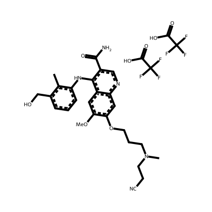 COc1cc2c(Nc3cccc(CO)c3C)c(C(N)=O)cnc2cc1OCCCN(C)CCC#N.O=C(O)C(F)(F)F.O=C(O)C(F)(F)F